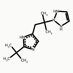 CC(C)(C)c1ncc(CC(C)(C)N2NC=CN2)[nH]1